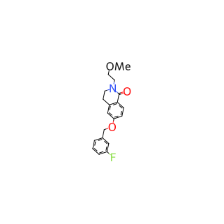 COCCN1CCc2cc(OCc3cccc(F)c3)ccc2C1=O